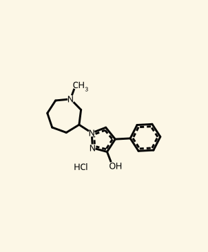 CN1CCCCC(n2cc(-c3ccccc3)c(O)n2)C1.Cl